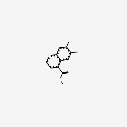 COC(=O)c1ccnc2cc(Cl)c(Br)cc12